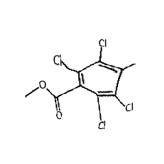 COC(=O)c1c(Cl)c(Cl)c(C)c(Cl)c1Cl